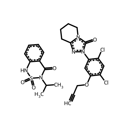 C#CCOc1cc(-n2nc3n(c2=O)CCCC3)c(Cl)cc1Cl.CC(C)N1C(=O)c2ccccc2NS1(=O)=O